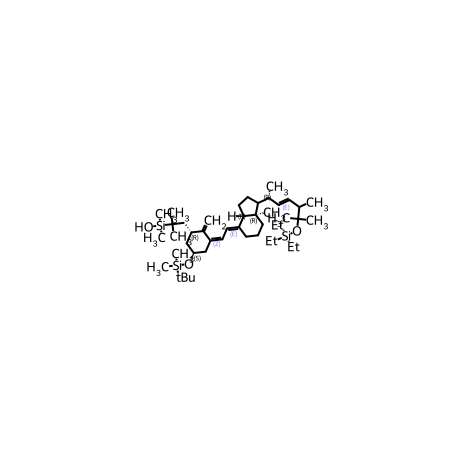 C=C1/C(=C\C=C2/CCC[C@]3(C)C([C@H](C)/C=C/C(C)C(C)(C)O[Si](CC)(CC)CC)CC[C@@H]23)C[C@@H](O[Si](C)(C)C(C)(C)C)C[C@@H]1CC(C)(C)[Si](C)(C)O